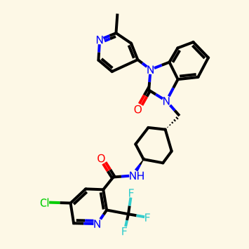 Cc1cc(-n2c(=O)n(C[C@H]3CC[C@H](NC(=O)c4cc(Cl)cnc4C(F)(F)F)CC3)c3ccccc32)ccn1